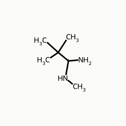 CN[C](N)C(C)(C)C